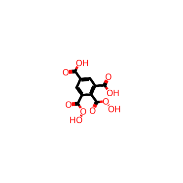 O=C(O)c1cc(C(=O)O)c(C(=O)OO)c(C(=O)OO)c1